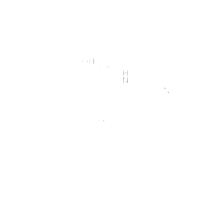 Cc1cc2c(c(C(C)(C)CC(O)(Cc3cc4ccncc4[nH]3)C(F)(F)F)c1)OCC2